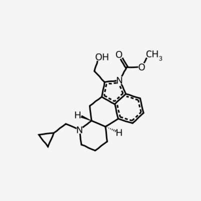 COC(=O)n1c(CO)c2c3c(cccc31)[C@H]1CCCN(CC3CC3)[C@@H]1C2